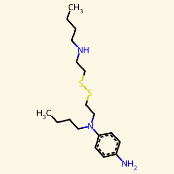 CCCCNCCSSCCN(CCCC)c1ccc(N)cc1